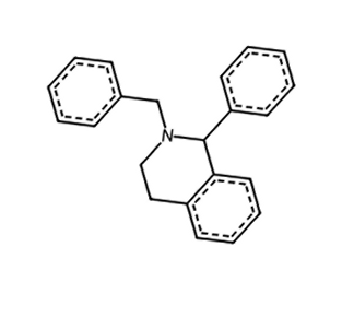 c1ccc(CN2CCc3ccccc3C2c2ccccc2)cc1